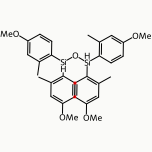 COc1ccc([SiH](O[SiH](c2ccc(OC)cc2C)c2ccc(OC)cc2C)c2ccc(OC)cc2C)c(C)c1